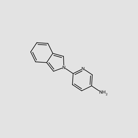 Nc1ccc(-n2cc3ccccc3c2)nc1